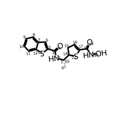 C[C@H](NC(=O)c1cc2ccccc2s1)C1CC=C(C(=O)NO)S1